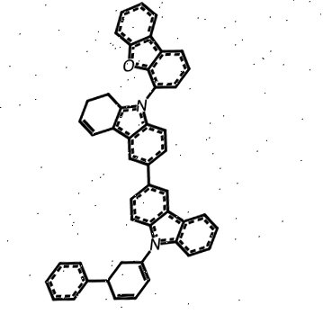 C1=CC(c2ccccc2)CC(n2c3ccccc3c3cc(-c4ccc5c(c4)c4c(n5-c5cccc6c5oc5ccccc56)CCC=C4)ccc32)=C1